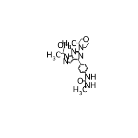 CNC(=O)Nc1ccc(-c2nc(N3CCOC[C@H]3C)nc3c2cnn3C(C)CO)cc1